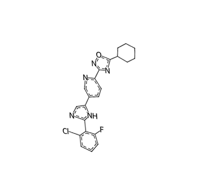 Fc1cccc(Cl)c1-c1ncc(-c2ccc(-c3noc(C4CCCCC4)n3)nc2)[nH]1